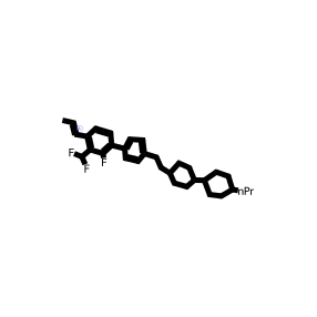 C/C=C/c1ccc(-c2ccc(CCC3CCC(C4CCC(CCC)CC4)CC3)cc2)c(F)c1C(F)F